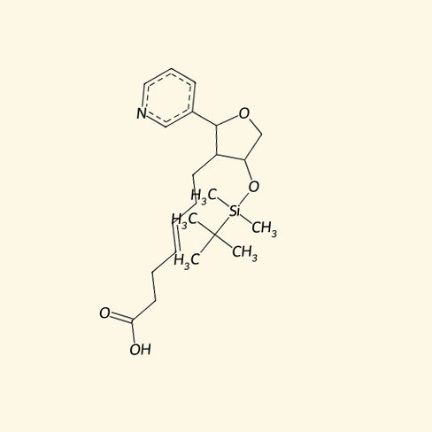 CC(C)(C)[Si](C)(C)OC1COC(c2cccnc2)C1CCC=CCCC(=O)O